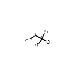 CCCC([O])(F)F